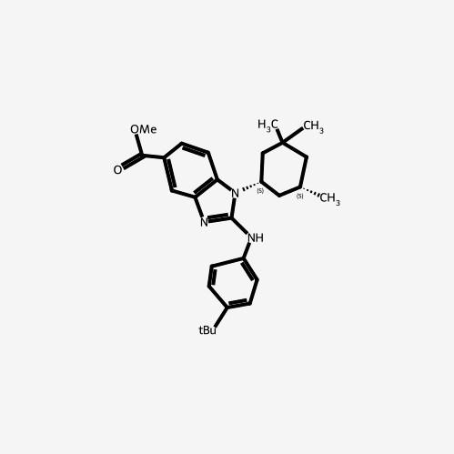 COC(=O)c1ccc2c(c1)nc(Nc1ccc(C(C)(C)C)cc1)n2[C@H]1C[C@@H](C)CC(C)(C)C1